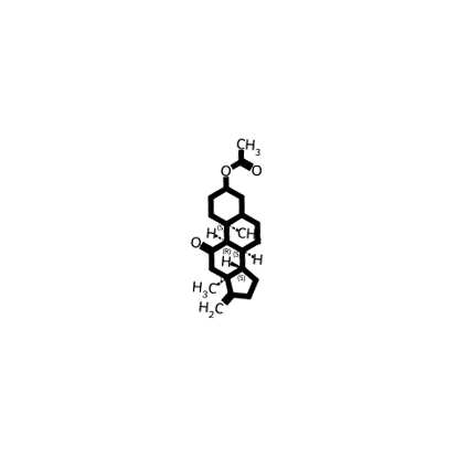 C=C1CC[C@H]2[C@@H]3CCC4CC(OC(C)=O)CC[C@]4(C)[C@@H]3C(=O)C[C@]12C